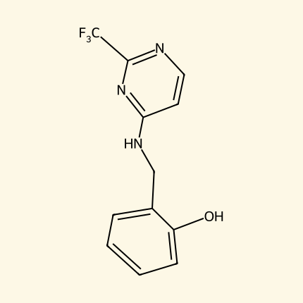 Oc1ccccc1CNc1ccnc(C(F)(F)F)n1